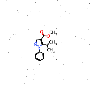 COC(=O)c1cnn(-c2ccccc2)c1C(C)C